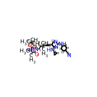 C[C@@H](C(=O)NCCC(C)(C)C#Cc1cnc(Nc2ccc(C#N)cc2)nc1NC1CC1)N(C)C(=O)OC(C)(C)C